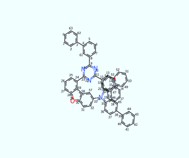 c1ccc(-c2cccc(-c3nc(-c4ccc5ccccc5c4)nc(-c4cccc5oc6ccc(-n7c8ccc(-c9ccccc9)cc8c8c9ccccc9ccc87)cc6c45)n3)c2)cc1